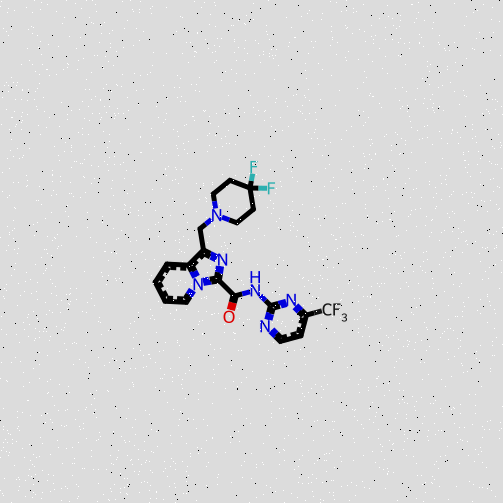 O=C(Nc1nccc(C(F)(F)F)n1)c1nc(CN2CCC(F)(F)CC2)c2ccccn12